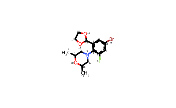 CC1CN(c2c(F)cc(Br)cc2C2OCCO2)CC(C)O1